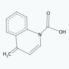 C=C1C=CN(C(=O)O)c2ccccc21